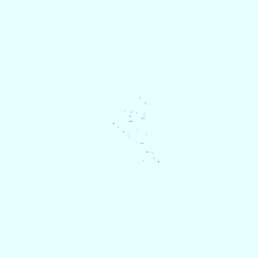 CCCCN(C=O)Cc1nc2c(N)nc3cc(-c4ccc(F)nc4)ccc3c2[nH]1